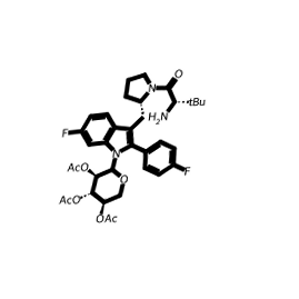 CC(=O)O[C@H]1[C@H](OC(C)=O)COC(n2c(-c3ccc(F)cc3)c(C[C@@H]3CCCN3C(=O)[C@@H](N)C(C)(C)C)c3ccc(F)cc32)[C@@H]1OC(C)=O